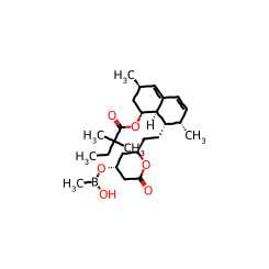 CCC(C)(C)C(=O)O[C@H]1C[C@@H](C)C=C2C=C[C@H](C)[C@H](CC[C@@H]3C[C@@H](OB(C)O)CC(=O)O3)[C@H]21